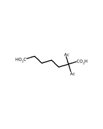 CC(=O)C(CCCCC(=O)O)(C(C)=O)C(=O)O